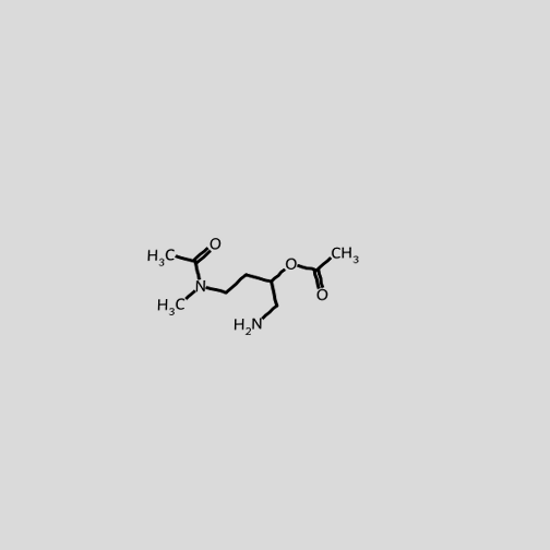 CC(=O)OC(CN)CCN(C)C(C)=O